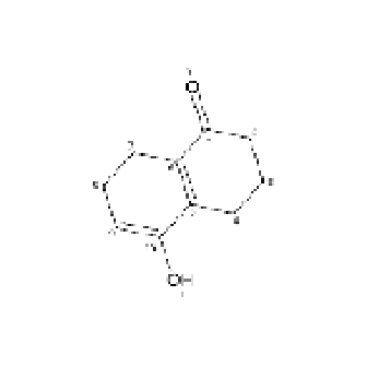 O=C1CCCC2=C1CCC=C2O